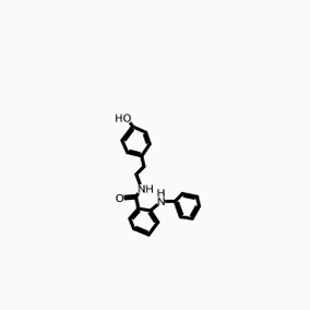 O=C(NCCc1ccc(O)cc1)c1ccccc1Nc1ccccc1